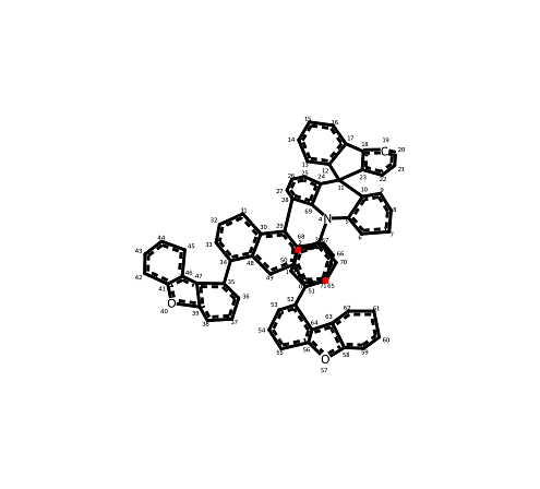 c1ccc(N2c3ccccc3C3(c4ccccc4-c4ccccc43)c3cccc(-c4c5cccc(-c6cccc7oc8ccccc8c67)c5cc5c(-c6cccc7oc8ccccc8c67)cccc45)c32)cc1